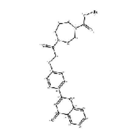 CC(C)(C)OC(=O)N1CCCN(C(=O)COc2ccc(-c3cc(=O)c4ccccc4o3)cc2)CC1